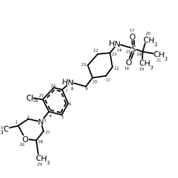 CC1CN(c2ccc(NCC3CCC(NS(=O)(=O)C(C)(C)C)CC3)cc2Cl)CC(C)O1